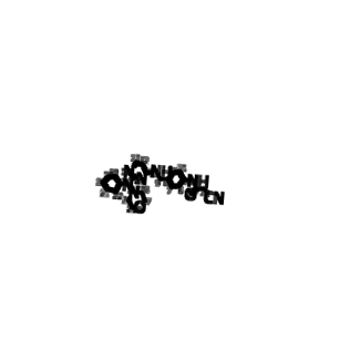 N#CCC(=O)Nc1ccc(CNc2ccnc(N(c3ccccc3)N3CCOCC3)n2)cc1